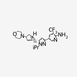 CC(C)n1nc(-c2cnc(N)c(C(F)(F)F)c2)cc1[C@@H]1C2=CC(N3CCOCC3)C[C@H]21